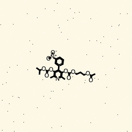 CC(=O)OCCCOC(=O)Oc1c(C)nc(C)c(OC(=O)OC(C)C)c1-c1cccc([N+](=O)[O-])c1